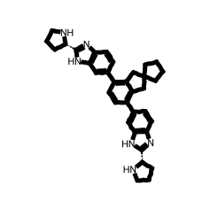 c1cc2nc([C@@H]3CCCN3)[nH]c2cc1-c1ccc(-c2ccc3nc([C@@H]4CCCN4)[nH]c3c2)c2c1CC1(CCCC1)C2